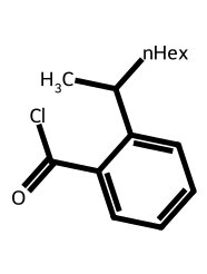 CCCCCCC(C)c1ccccc1C(=O)Cl